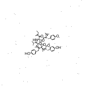 CC[C@H](C)[C@@H](OC(=O)[C@@H](Cc1ccc(OC)cc1)N(C)C)C(=O)N[C@H](C(=O)N(C)[C@H](Cc1ccc(O)cc1)C(=O)N(C)[C@@H](Cc1ccc(O)cc1)C(=O)OC)C(C)C